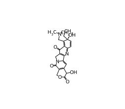 CC[C@]1(O)C=CC2=NC3=C(Cn4c3cc3c(c4=O)COC(=O)C3O)C(=O)C2=C1CN(C)C